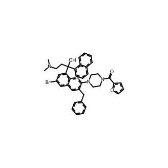 CN(C)CCC(O)(c1cccc2ccccc12)c1cc(Br)cc2cc(Cc3ccccc3)c(N3CCN(C(=O)c4ccco4)CC3)nc12